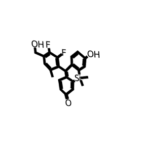 Cc1cc(CO)c(F)c(F)c1C1=C2C=CC(=O)C=C2[Si](C)(C)c2cc(O)ccc21